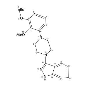 CCCCOc1[c]ccc(N2CCN(c3n[nH]c4ccccc34)CC2)c1OC